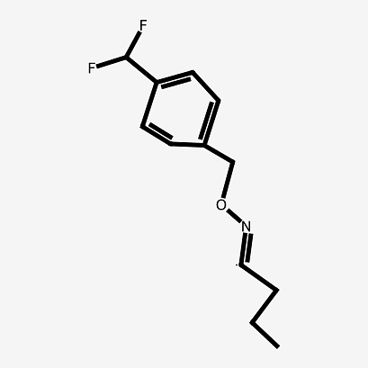 CCC/[C]=N/OCc1ccc(C(F)F)cc1